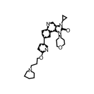 O=c1n(C2CC2)c2cnc3ccc(-c4ccc(OCCCN5CCCCC5)nc4)cc3c2n1N1CCOCC1